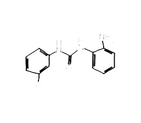 Nc1ccccc1NC(=O)Nc1cccc(Cl)c1